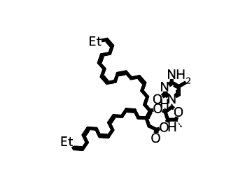 CC/C=C\C/C=C\C/C=C\C/C=C\C/C=C\CCC/C1=C(\C/C=C\C/C=C\C/C=C\C/C=C\C/C=C\CC)CC(=O)O[C@H]2[C@@H](O1)[C@H](n1cc(C)c(N)nc1=O)O[C@@H]2C